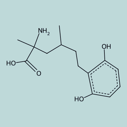 CC(CCc1c(O)cccc1O)CC(C)(N)C(=O)O